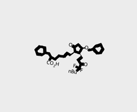 CCCCC(F)(F)C(=O)C=C[C@H]1[C@H](OCc2ccccc2)CC(=O)[C@@H]1CC=CCCC(Cc1ccccc1)C(=O)O